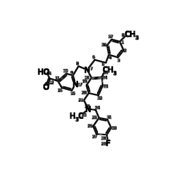 Cc1ccc(CCN(Cc2cc(C(=O)O)ccn2)c2cc(CN(C)Cc3ccc(F)cc3)ccc2C)cc1